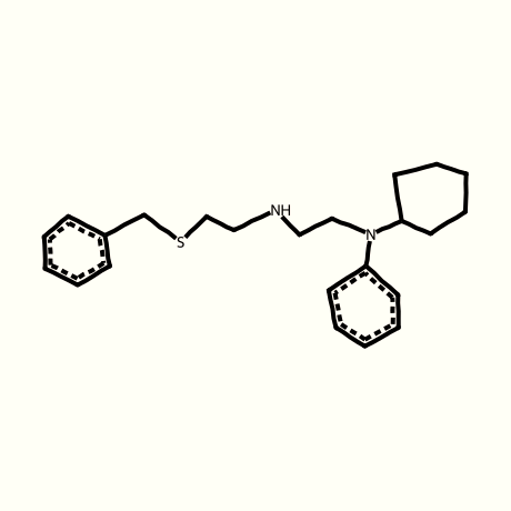 c1ccc(CSCCNCCN(c2ccccc2)C2CCCCC2)cc1